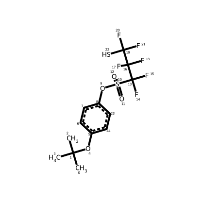 CC(C)(C)Oc1ccc(OS(=O)(=O)C(F)(F)C(F)(F)C(F)(F)S)cc1